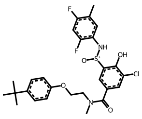 Cc1cc(N[S+]([O-])c2cc(C(=O)N(C)CCOc3ccc(C(C)(C)C)cc3)cc(Cl)c2O)c(F)cc1F